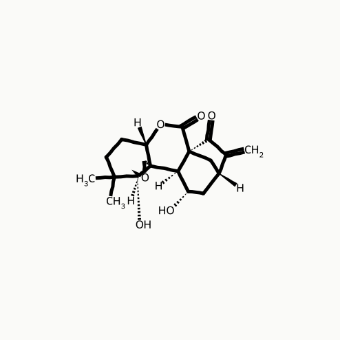 C=C1C(=O)[C@]23C[C@H]1C[C@H](O)[C@H]2[C@@]12CO[C@@H](O)[C@@H]1C(C)(C)CC[C@@H]2OC3=O